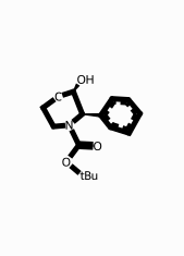 CC(C)(C)OC(=O)N1CCC[C@@H](O)[C@H]1c1ccccc1